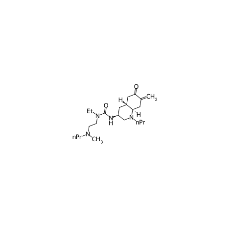 C=C1C[C@@H]2[C@@H](CC1=O)C[C@H](NC(=O)N(CC)CCN(C)CCC)CN2CCC